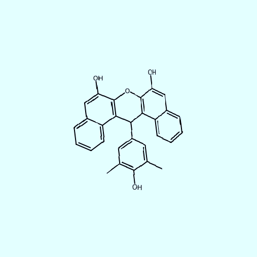 Cc1cc(C2c3c(c(O)cc4ccccc34)Oc3c(O)cc4ccccc4c32)cc(C)c1O